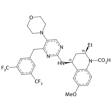 CC[C@@H]1C[C@H](Nc2ncc(N3CCOCC3)c(Cc3cc(C(F)(F)F)cc(C(F)(F)F)c3)n2)c2cc(OC)ccc2N1C(=O)O